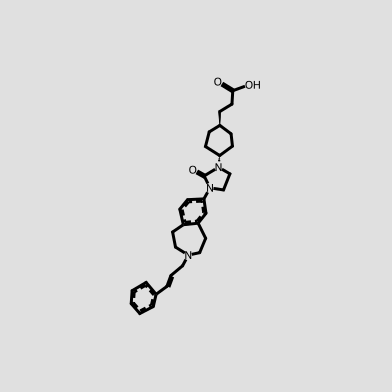 O=C(O)CC[C@H]1CC[C@H](N2CCN(c3ccc4c(c3)CCN(CC=Cc3ccccc3)CC4)C2=O)CC1